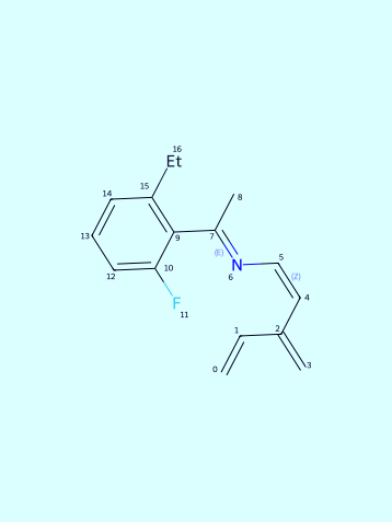 C=CC(=C)/C=C\N=C(/C)c1c(F)cccc1CC